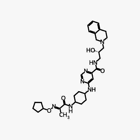 C/C(=N\OC1CCCC1)C(=O)NC1CCC(Nc2cc(C(=O)NC[C@H](O)CN3CCc4ccccc4C3)ncn2)CC1